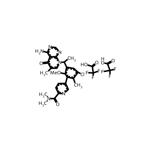 COc1c(C(C)n2cc(C)c(=O)c3c(N)ncnc32)cc(Cl)c(C)c1-c1ccc(C(=O)N(C)C)nc1.O=C(O)C(F)(F)F.O=C(O)C(F)(F)F